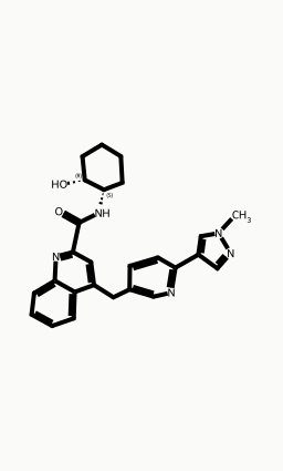 Cn1cc(-c2ccc(Cc3cc(C(=O)N[C@H]4CCCC[C@H]4O)nc4ccccc34)cn2)cn1